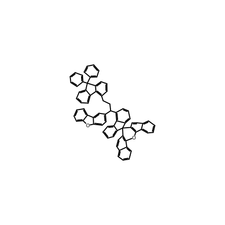 c1ccc(C2(c3ccccc3)c3ccccc3-c3c(CCC(c4ccc5oc6ccccc6c5c4)c4cccc5c4-c4ccccc4C54c5ccc6ccccc6c5Oc5c4ccc4ccccc54)cccc32)cc1